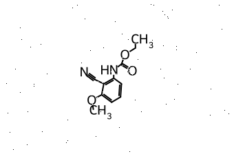 CCOC(=O)Nc1cccc(OC)c1C#N